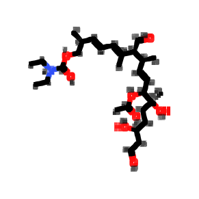 CCN(CC)C(=O)OC[C@@H](C)/C=C/C=C(\C)[C@@H](C=O)[C@@H](C)/C=C/[C@H](OC(C)=O)[C@@](C)(O)CC[C@H](O)CC=O